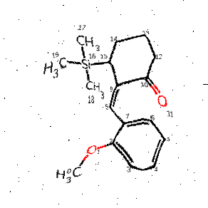 COc1ccccc1C=C1C(=O)CCCC1[Si](C)(C)C